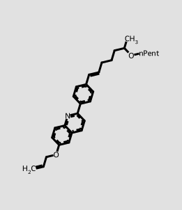 C=CCOc1ccc2nc(-c3ccc(C=CCCCC(C)OCCCCC)cc3)ccc2c1